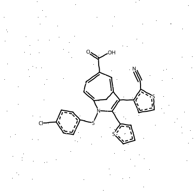 N#Cc1sccc1C1=C(c2cccs2)N(Sc2ccc(Cl)cc2)C2=CC=C(C(=O)O)C=C1C2